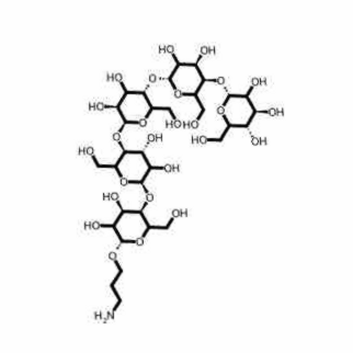 NCCCO[C@H]1OC(CO)[C@H](O[C@H]2OC(CO)[C@@H](O[C@@H]3OC(CO)[C@@H](O[C@H]4OC(CO)[C@H](O[C@H]5OC(CO)[C@@H](O)[C@H](O)C5O)[C@H](O)C4O)C(O)[C@@H]3O)[C@H](O)C2O)[C@H](O)C1O